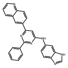 c1ccc(-c2nc(Nc3ccc4nc[nH]c4c3)cc(-c3ccc4ncccc4c3)n2)cc1